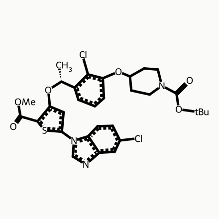 COC(=O)c1sc(-n2cnc3cc(Cl)ccc32)cc1O[C@H](C)c1cccc(OC2CCN(C(=O)OC(C)(C)C)CC2)c1Cl